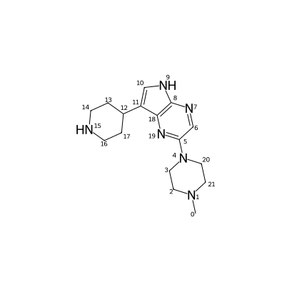 CN1CCN(c2cnc3[nH]cc(C4CCNCC4)c3n2)CC1